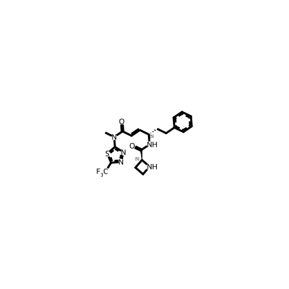 CN(C(=O)C=C[C@H](CCc1ccccc1)NC(=O)[C@@H]1CCN1)c1nnc(C(F)(F)F)s1